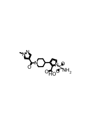 Cn1cc(C(=O)N2CCC(c3ccn(S(N)(=O)=O)c3C(=O)O)CC2)cn1